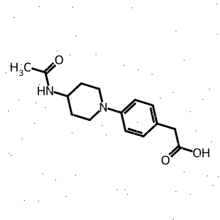 CC(=O)NC1CCN(c2ccc(CC(=O)O)cc2)CC1